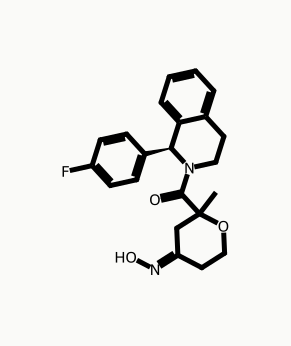 CC1(C(=O)N2CCc3ccccc3[C@@H]2c2ccc(F)cc2)CC(=NO)CCO1